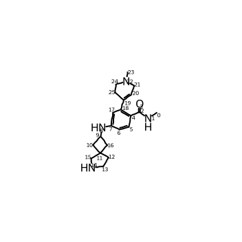 CNC(=O)c1ccc(NC2CC3(CCNC3)C2)cc1C1=CCN(C)CC1